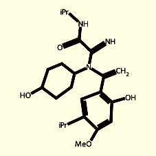 C=C(c1cc(C(C)C)c(OC)cc1O)N(C(=N)C(=O)NC(C)C)C1CCC(O)CC1